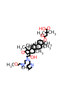 COCCN(C)CCN(Cc1ccccn1)CC(O)C12CC[C@]3(C)[C@H](CC[C@@H]4[C@@]5(C)CC[C@H](OC(=O)CC(C)(C)C(=O)O)C(C)(C)[C@@H]5CC[C@]43C)C1=C(C(C)C)C(=O)C2